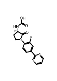 O=C(O)N[C@H]1CCN(c2ccc(-c3ncccn3)cc2F)C1=O